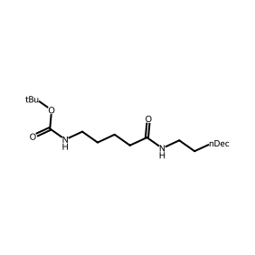 CCCCCCCCCCCCNC(=O)CCCCNC(=O)OC(C)(C)C